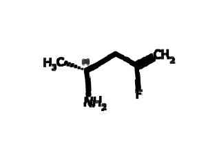 C=C(F)C[C@@H](C)N